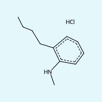 CCCCc1ccccc1NC.Cl